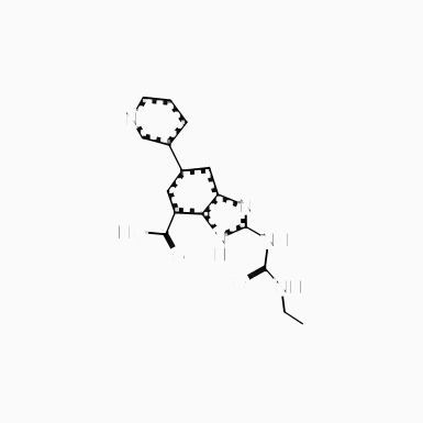 CCNC(=O)Nc1nc2cc(-c3cccnc3)cc(C(=O)O)c2[nH]1